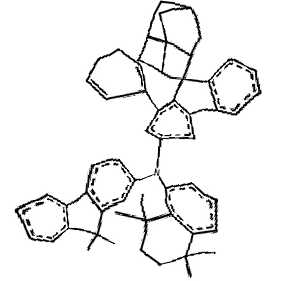 CC1(C)CCC(C)(C)c2c(N(c3cc(C4=CCCC=C4)c4c(c3)-c3ccccc3C43C4CC5CC6CC3C64C5)c3ccc4c(c3)C(C)(C)c3ccccc3-4)cccc21